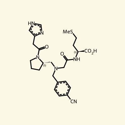 CSCC[C@H](NC(=O)CN(Cc1ccc(C#N)cc1)C[C@@H]1CCCN1C(=O)Cc1c[nH]cn1)C(=O)O